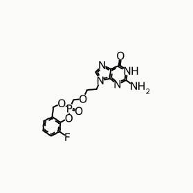 Nc1nc2c(ncn2CCOCP2(=O)OCc3cccc(F)c3O2)c(=O)[nH]1